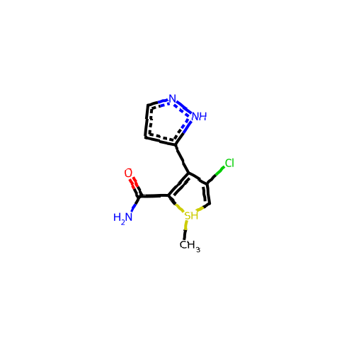 C[SH]1C=C(Cl)C(c2ccn[nH]2)=C1C(N)=O